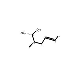 C/C=C/C[C@@H](C)[C@@H](O)CCCC